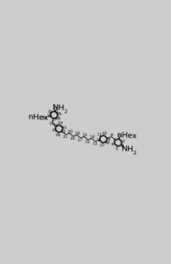 CCCCCCc1cc(N)ccc1Cc1ccc(CCCCCCCCCc2ccc(Cc3ccc(N)cc3CCCCCC)cc2)cc1